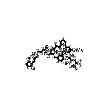 CCC(C)C(C(CC(=O)N1CCCC1C(OC)C(C)C(=O)N[C@@H](Cc1ccccc1)C(=O)NS(=O)(=O)CCCn1cc(CN2C(=O)C=CC2=O)nn1)OC)N(C)C(=O)[C@@H](N=C(N(C)C)N(C)C)C(C)C